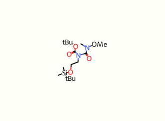 CON(C)C(=O)N(CCO[Si](C)(C)C(C)(C)C)C(=O)OC(C)(C)C